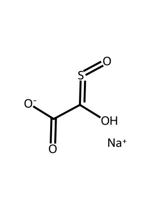 O=S=C(O)C(=O)[O-].[Na+]